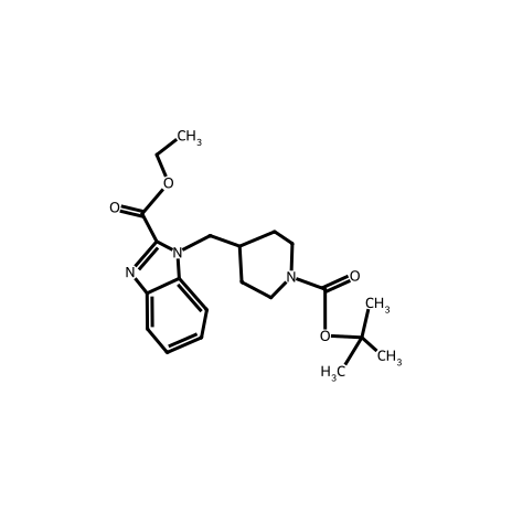 CCOC(=O)c1nc2ccccc2n1CC1CCN(C(=O)OC(C)(C)C)CC1